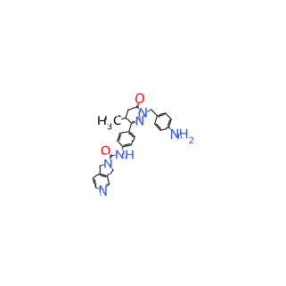 CC1CC(=O)N(Cc2ccc(N)cc2)N=C1c1ccc(NC(=O)N2Cc3ccncc3C2)cc1